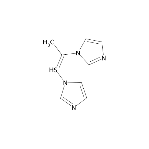 CC(=[SH]n1ccnc1)n1ccnc1